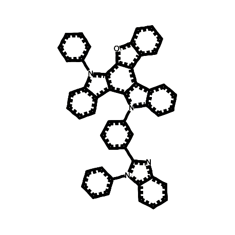 c1ccc(-n2c(-c3cccc(-n4c5ccccc5c5c6c7ccccc7oc6c6c(c7ccccc7n6-c6ccccc6)c54)c3)nc3ccccc32)cc1